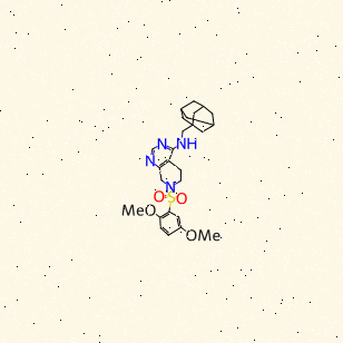 COc1ccc(OC)c(S(=O)(=O)N2CCc3c(ncnc3NCC34CC5CC(CC(C5)C3)C4)C2)c1